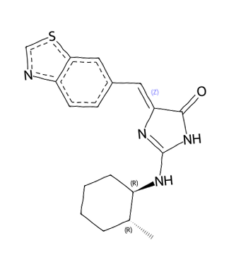 C[C@@H]1CCCC[C@H]1NC1=N/C(=C\c2ccc3ncsc3c2)C(=O)N1